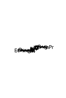 CCCOCCCCOc1ccc(-c2ncc(OCCCCCCOCC)cn2)cc1